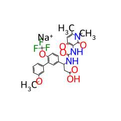 COc1cccc(-c2cc(C(CC(=O)O)NC(=O)Nc3c([O-])cc(C)n(C)c3=O)ccc2OC(F)(F)F)c1.[Na+]